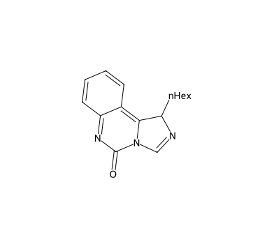 CCCCCCC1N=Cn2c1c1ccccc1nc2=O